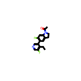 CCc1c(F)cncc1-c1cc2c(cc1F)N(C(C)=O)CC2